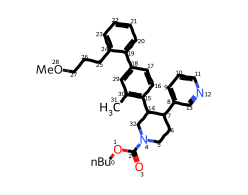 CCCCOC(=O)N1CCC(c2cccnc2)C(c2ccc(-c3ccccc3CCCOC)cc2C)C1